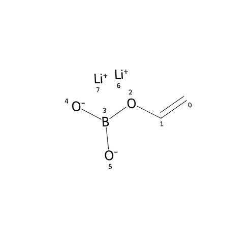 C=COB([O-])[O-].[Li+].[Li+]